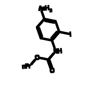 CCCOC(=O)Nc1ccc([AsH2])cc1I